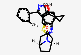 Cc1ccccc1-c1noc(C2CC2)c1CO[C@@H]1C[C@H]2CC[C@@H](C1)N2c1nc2ccc(C(=O)O)cc2s1